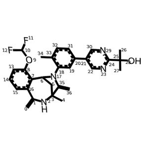 C=C1NC2(C)CC(c3c(OC(F)F)cccc31)N(c1cc(-c3cnc(C(C)(C)O)nc3)ccc1C)C2=C